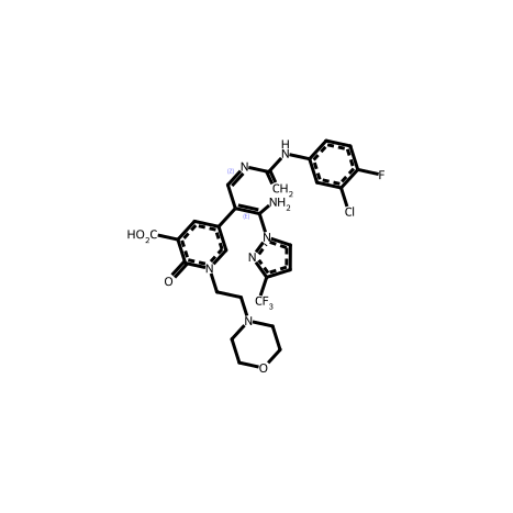 C=C(/N=C\C(=C(/N)n1ccc(C(F)(F)F)n1)c1cc(C(=O)O)c(=O)n(CCN2CCOCC2)c1)Nc1ccc(F)c(Cl)c1